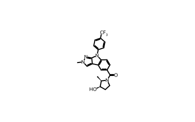 C[C@@H]1[C@H](O)CCN1C(=O)c1ccc2c(c1)c1cn(C)nc1n2-c1ccc(C(F)(F)F)cc1